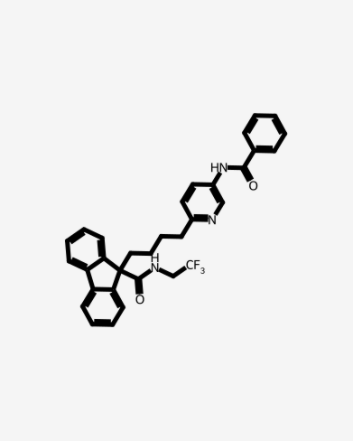 O=C(Nc1ccc(CCCCC2(C(=O)NCC(F)(F)F)c3ccccc3-c3ccccc32)nc1)c1ccccc1